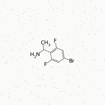 CC(N)c1c(F)cc(Br)cc1F